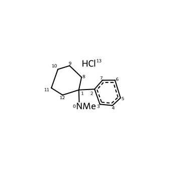 CNC1(c2ccccc2)CCCCC1.Cl